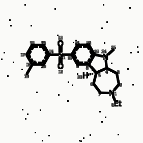 CCN1CCC2[C@@H](CC1)c1cc(S(=O)(=O)c3cccc(C)c3)ccc1N2C